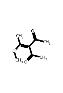 COC(C)=C(C(C)=O)C(C)=O